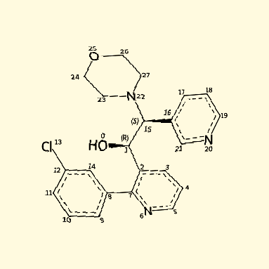 O[C@H](c1cccnc1-c1cccc(Cl)c1)[C@H](c1cccnc1)N1CCOCC1